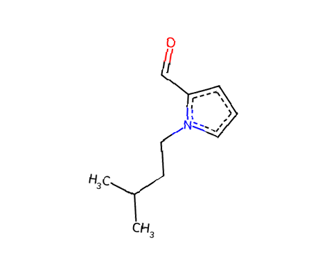 CC(C)CCn1cccc1C=O